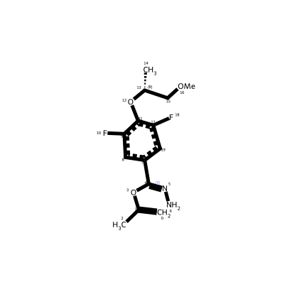 C=C(C)O/C(=N\N)c1cc(F)c(O[C@H](C)COC)c(F)c1